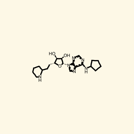 O[C@@H]1[C@H](O)[C@@H](CCC2CCCCN2)O[C@H]1n1cnc2c(NC3CCCC3)ncnc21